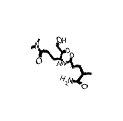 CC(C[CH]C(=O)NC(CCC(=O)N(C)C)C(=O)CO)C(N)=O